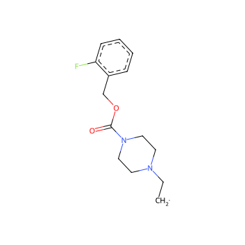 [CH2]CN1CCN(C(=O)OCc2ccccc2F)CC1